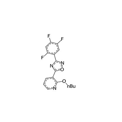 CCCCOc1ncccc1-c1nc(-c2cc(F)c(F)cc2F)no1